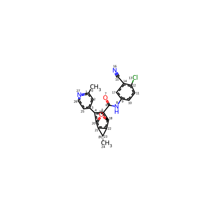 Cc1cc(-c2c(C(=O)Nc3ccc(Cl)c(C#N)c3)c3oc2c2c3[C@@H]2C)ccn1